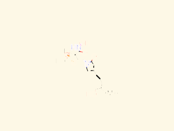 COC(CO)CC#Cc1ccn(CCC(C)(C(=O)NO)S(C)(=O)=O)c(=O)c1